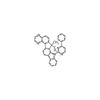 CC1(C)c2ccc3nccnc3c2-c2ccc3c4ccccc4n(-c4nccc(-c5ccccc5)n4)c3c21